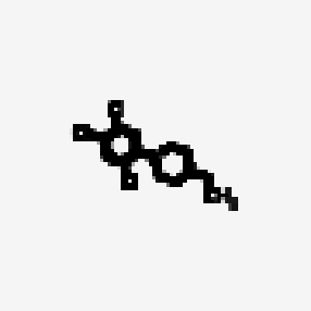 CCN1CCN(c2cc(Cl)c(Cl)cc2Cl)CC1